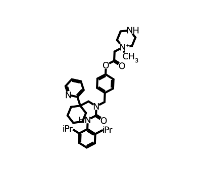 CC(C)c1cccc(C(C)C)c1NC(=O)N(Cc1ccc(OC(=O)C[N+]2(C)CCNCC2)cc1)CC1(c2ccccn2)CCCCC1